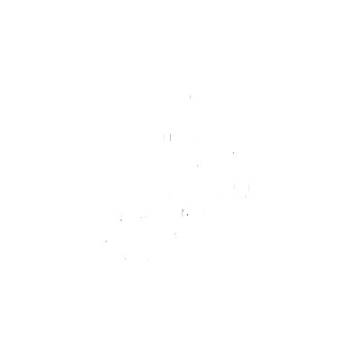 Cc1cccc(C2CCN(Cc3ccccc3)CC2C)c1S